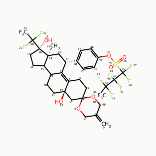 C=C1COC2(CCC3=C4C(CC[C@@]3(O)C2)C2CC[C@@](O)(C(F)(F)C(F)(F)F)[C@@]2(C)C[C@@H]4c2ccc(OS(=O)(=O)C(F)(F)C(F)(F)C(F)(F)C(F)(F)F)cc2)OC1